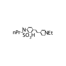 CCCC(N(C)c1ccc(/C=C/C2=CCN(CC)C=C2)cc1)S(=O)(=O)O